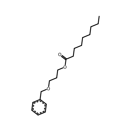 CCCCCCCCC(=O)OCCCOCc1ccccc1